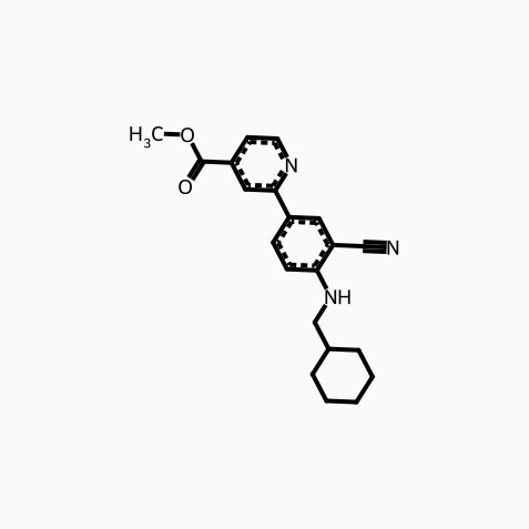 COC(=O)c1ccnc(-c2ccc(NCC3CCCCC3)c(C#N)c2)c1